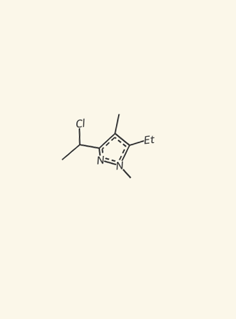 CCc1c(C)c(C(C)Cl)nn1C